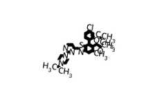 CC(=O)[C@@H](OC(C)(C)C)c1c(C)cc2nc(-c3ccnc(N4CCN(C(C)C)CC4)n3)sc2c1-c1ccc(Cl)cc1